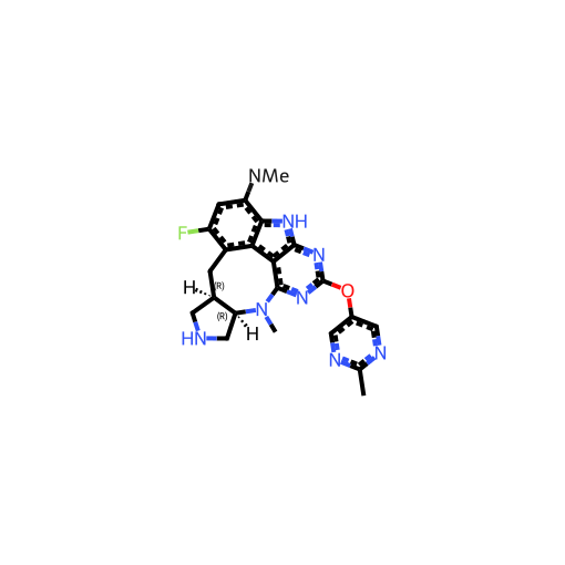 CNc1cc(F)c2c3c1[nH]c1nc(Oc4cnc(C)nc4)nc(c13)N(C)[C@H]1CNC[C@H]1C2